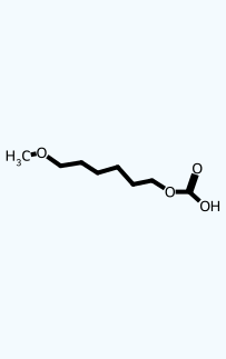 COCCCCCCOC(=O)O